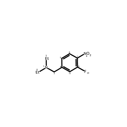 CCN(CC)Cc1ccc([N+](=O)[O-])c(F)c1